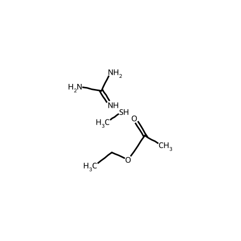 CCOC(C)=O.CS.N=C(N)N